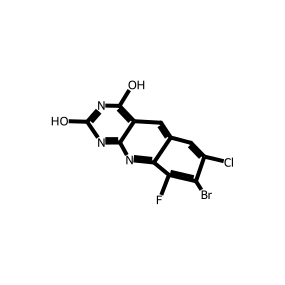 Oc1nc(O)c2cc3cc(Cl)c(Br)c(F)c3nc2n1